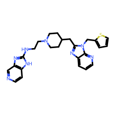 c1csc(Cn2c(CC3CCN(CCNc4nc5cnccc5[nH]4)CC3)nc3cccnc32)c1